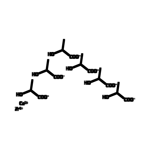 CC(O)C(=O)[O-].CC(O)C(=O)[O-].CC(O)C(=O)[O-].CC(O)C(=O)[O-].CC(O)C(=O)[O-].CC(O)C(=O)[O-].[Ca+2].[Zr+4]